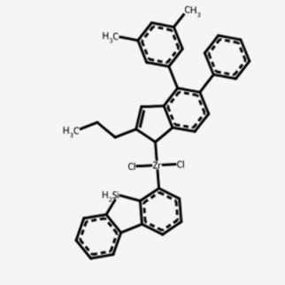 CCCC1=Cc2c(ccc(-c3ccccc3)c2-c2cc(C)cc(C)c2)[CH]1[Zr]([Cl])([Cl])[c]1cccc2c1[SiH2]c1ccccc1-2